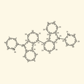 c1ccc(-n2c3ccccc3c3c(-c4cccc5c4c4ccccc4n5-c4ccccn4)cccc32)nc1